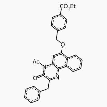 CCOC(=O)c1ccc(COc2cc3c(nc(Cc4ccccc4)c(=O)n3C(C)=O)c3ccccc23)cc1